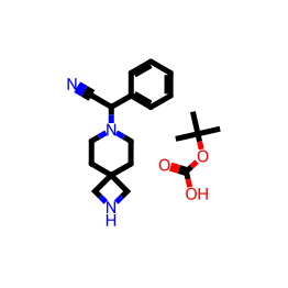 CC(C)(C)OC(=O)O.N#CC(c1ccccc1)N1CCC2(CC1)CNC2